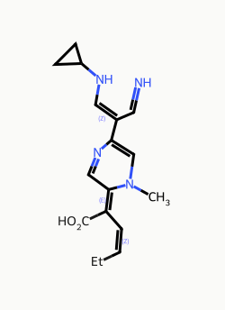 CC/C=C\C(C(=O)O)=C1\C=NC(/C(C=N)=C/NC2CC2)=CN1C